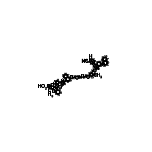 C[C@@H](C(=O)N[C@H](C(=O)N1CCC[C@H]1c1nc(-c2ccc(OCCOCCOCCO[C@@H]3C[C@@H](COc4nc5c(c(N6CCN[C@@H](CC#N)C6)n4)CCN(c4cccc6ccccc46)C5)N(C)C3)c3ccccc23)cs1)C1CCCCC1)N(C)C(=O)O